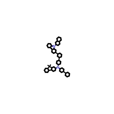 CC1(C)c2ccccc2-c2ccc(N(c3ccc(-c4ccccc4)cc3)c3ccc(-c4cccc(-c5ccc6c7ccccc7n(-c7ccc8ccccc8c7)c6c5)c4)cc3)cc21